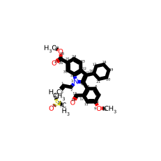 C=CCn1c(-c2ccc(OC)cc2C=O)c(C2CCCCC2)c2ccc(C(=O)OC)cc21.C[S+](C)[O-]